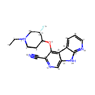 CCN1CCC(Oc2c(C#N)ncc3[nH]c4ncccc4c23)[C@@H](F)C1